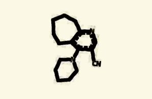 N#Cc1cnc2c(c1N1CCCCC1)CCCCC2